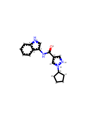 O=C(Nc1c[nH]c2ccccc12)c1cnn(C2CCCC2)c1